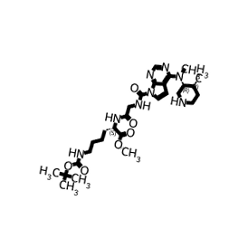 COC(=O)[C@H](CCCCNC(=O)OC(C)(C)C)NC(=O)CNC(=O)n1ccc2c(N(C)[C@H]3CNCC[C@H]3C)ncnc21